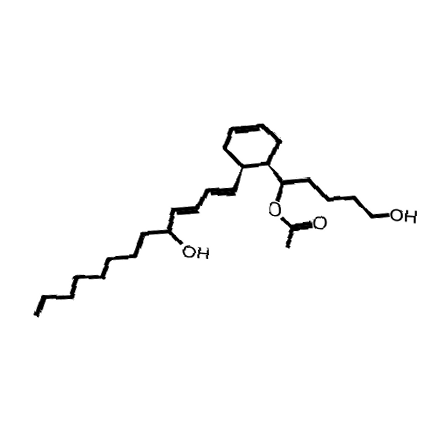 CCCCCCCCC(O)C=CC=C[C@H]1CC=CC[C@H]1C(CCCCO)OC(C)=O